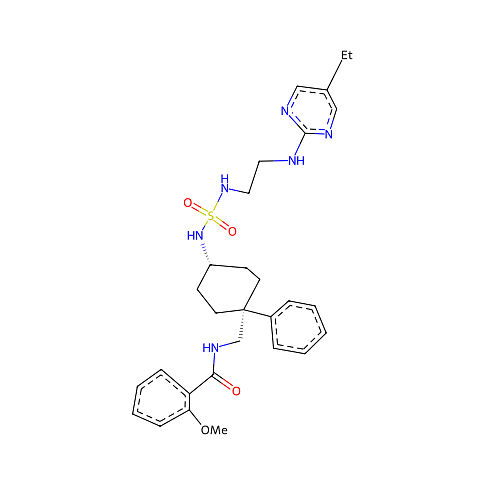 CCc1cnc(NCCNS(=O)(=O)N[C@H]2CC[C@](CNC(=O)c3ccccc3OC)(c3ccccc3)CC2)nc1